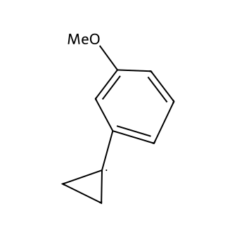 COc1cccc([C]2CC2)c1